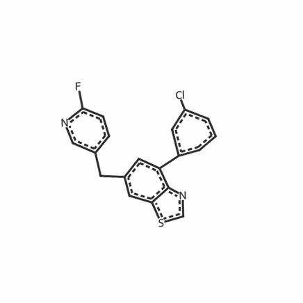 Fc1ccc(Cc2cc(-c3cccc(Cl)c3)c3ncsc3c2)cn1